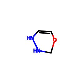 C1=COCNN1